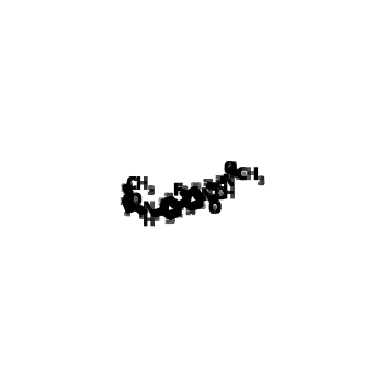 CCc1ccc(CNCc2ccc(-c3ccc(N4C[C@H](CNC(C)=O)OC4=O)cc3F)cc2)o1